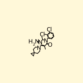 CC1=C(N2CCC3(CC2)CC3)N(N)C(C)N(c2cccc(Cl)c2Cl)C1=O